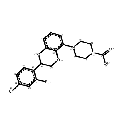 O=C(O)N1CCN(c2cccc3c2OCC(c2ccc(Cl)cc2F)O3)CC1